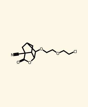 N#CC12CC3CC1C(OC2=O)C3OCCOCCCl